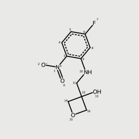 O=[N+]([O-])c1ccc(F)cc1NCC1(O)COC1